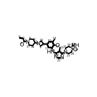 C=CC(=O)N1CCC(N2CC(c3cc(C)c4c(c3)Nc3ncnc(N5CCS(=N)(=O)CC5)c3CO4)C2)CC1